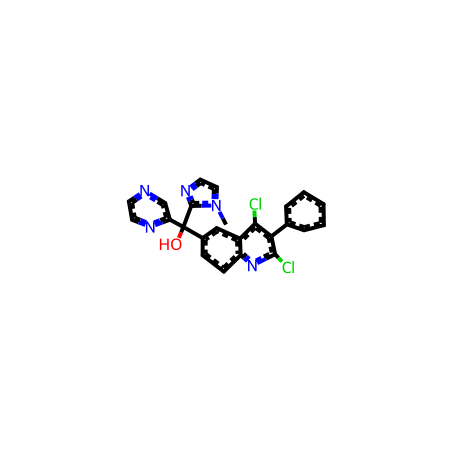 Cn1ccnc1C(O)(c1ccc2nc(Cl)c(-c3ccccc3)c(Cl)c2c1)c1cnccn1